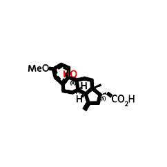 C=C1C[C@@H](CC(=O)O)[C@@]2(C)CC[C@]3(O)c4ccc(OC)cc4CC[C@@H]3[C@H]12